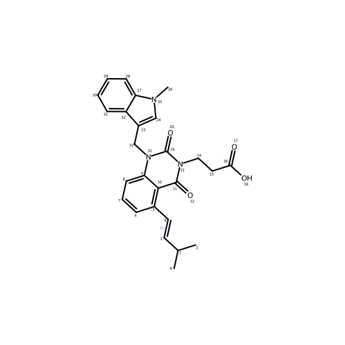 CC(C)/C=C/c1cccc2c1c(=O)n(CCC(=O)O)c(=O)n2Cc1cn(C)c2ccccc12